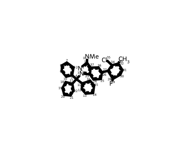 CNc1nn(C(c2ccccc2)(c2ccccc2)c2ccccc2)c2ccc(-c3c(F)ccc(C)c3Cl)cc12